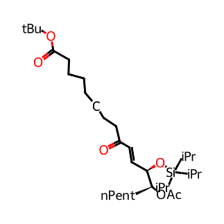 CCCCC[C@H](OC(C)=O)[C@@H](/C=C/C(=O)CCCCCCCC(=O)OC(C)(C)C)O[Si](C(C)C)(C(C)C)C(C)C